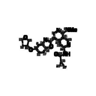 CNc1ncc(-c2nc3cc(OC4CCOC4)ccc3o2)c2cc(NC(=O)C3CC3)ncc12